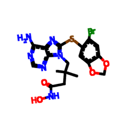 CC(C)(CC(=O)NO)Cn1c(Sc2cc3c(cc2Br)OCO3)nc2c(N)ncnc21